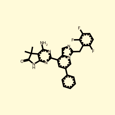 CC1(C)C(=O)Nc2nc(-c3cc(-c4ccccc4)cn4c(Cc5c(F)ccc(F)c5F)ncc34)nc(N)c21